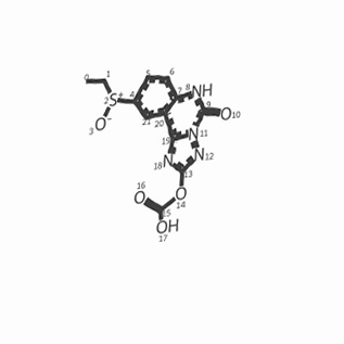 CC[S+]([O-])c1ccc2[nH]c(=O)n3nc(OC(=O)O)nc3c2c1